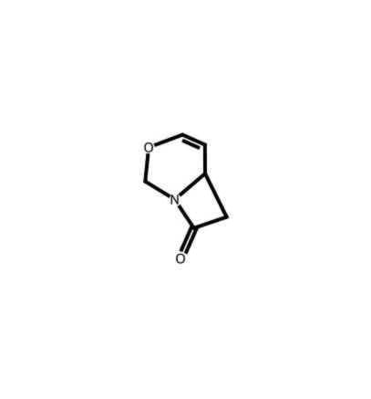 O=C1CC2C=COCN12